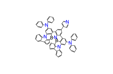 c1ccc(N(c2ccccc2)c2cc3c4c(c2)-n2c5ccccc5c5cccc(c52)B4N2B4c5c(cc(N(c6ccccc6)c6ccccc6)cc5-n5c6ccccc6c6cccc4c65)-c4cc(-c5ccncc5)cc-3c42)cc1